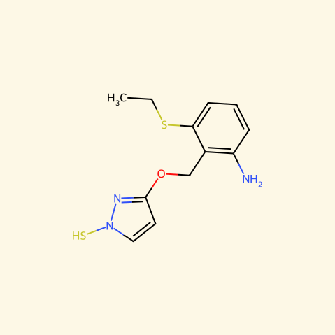 CCSc1cccc(N)c1COc1ccn(S)n1